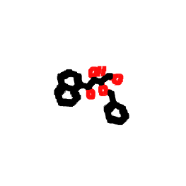 O=CC(OCc1ccccc1)C(O)C(=O)c1cccc2ccccc12